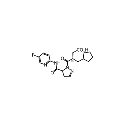 O=C(O)C[C@@H](CC1CCCC1)C(=O)N1N=CCC1C(=O)Nc1ccc(F)cn1